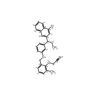 COC(c1cccc(OCc2cccc(C)c2OCC#N)c1)c1cc(Cl)c2ccccc2n1